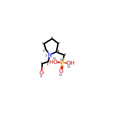 [O]CCN1CCCCC1CP(=O)(O)O